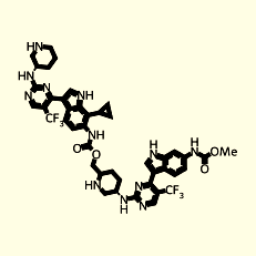 COC(=O)Nc1ccc2c(-c3nc(N[C@H]4CCC(COC(=O)Nc5ccc6c(-c7nc(N[C@H]8CCCNC8)ncc7C(F)(F)F)c[nH]c6c5C5CC5)NC4)ncc3C(F)(F)F)c[nH]c2c1